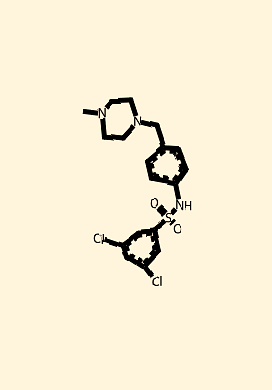 CN1CCN(Cc2ccc(NS(=O)(=O)c3cc(Cl)cc(Cl)c3)cc2)CC1